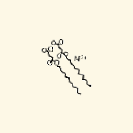 CCCCCCCCCCC=COC(=O)CCC(=O)[O-].CCCCCCCCCCC=COC(=O)CCC(=O)[O-].[Ni+2]